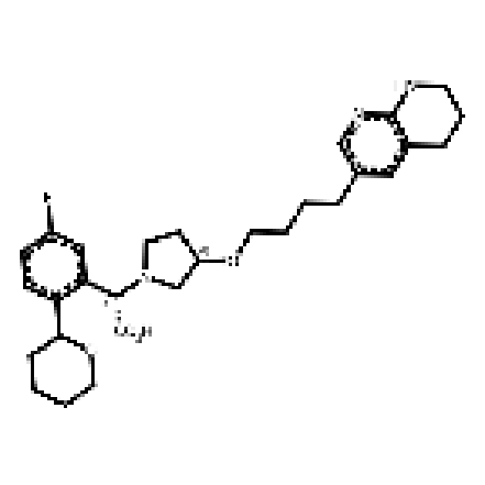 O=C(O)[C@H](c1cc(F)ccc1C1CCCCO1)N1CC[C@@H](OCCCCc2cnc3c(c2)CCCN3)C1